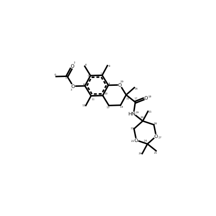 CC(=O)Oc1c(C)c(C)c2c(c1C)CCC(C)(C(=O)NC1(C)COC(C)(C)OC1)O2